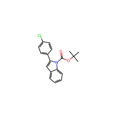 CC(C)(C)OC(=O)n1c(-c2ccc(Cl)cc2)cc2ccccc21